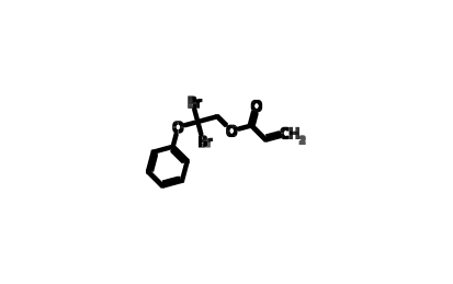 C=CC(=O)OCC(Br)(Br)Oc1ccccc1